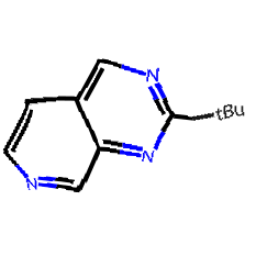 CC(C)(C)c1ncc2ccncc2n1